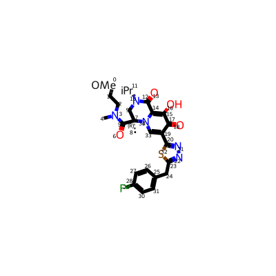 COCCN(C)C(=O)[C@@]1(C)CN(C(C)C)C(=O)c2c(O)c(=O)c(-c3nnc(Cc4ccc(F)cc4)s3)cn21